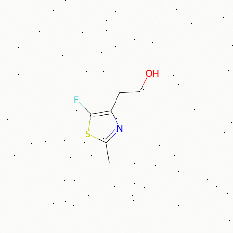 Cc1nc(CCO)c(F)s1